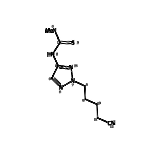 CNC(=S)Nc1cnn(CCCCC#N)n1